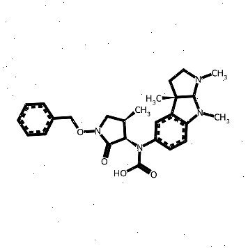 C[C@@H]1CN(OCc2ccccc2)C(=O)[C@@H]1N(C(=O)O)c1ccc2c(c1)[C@]1(C)CCN(C)C1N2C